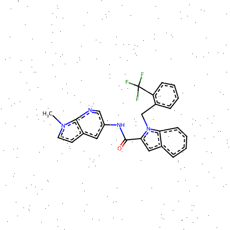 Cn1ccc2cc(NC(=O)c3cc4ccccc4n3Cc3ccccc3C(F)(F)F)cnc21